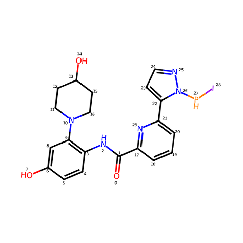 O=C(Nc1ccc(O)cc1N1CCC(O)CC1)c1cccc(-c2ccnn2PI)n1